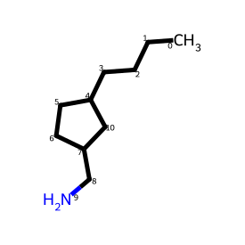 CCCCC1CCC(CN)C1